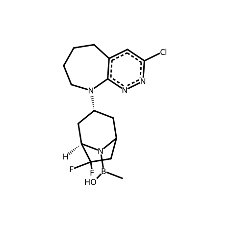 CB(O)N1C2C[C@@H](N3CCCCc4cc(Cl)nnc43)C[C@@H]1C(F)(F)C2